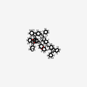 c1ccc(N(c2ccc3nc(N(c4ccccc4)c4ccc5c6ccccc6n(-c6ccccc6)c5c4)nc(N(c4ccccc4)c4ccc5c6ccccc6n(-c6ccccc6)c5c4)c3c2)c2ccc3c4ccccc4n(-c4ccccc4)c3c2)cc1